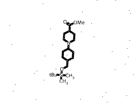 COC(=O)C1CCN(C2CCC(CO[Si](C)(C)C(C)(C)C)CC2)CC1